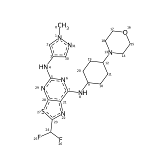 Cn1cc(Nc2nc(NC3CCC(N4CCOCC4)CC3)c3nc(C(F)F)sc3n2)cn1